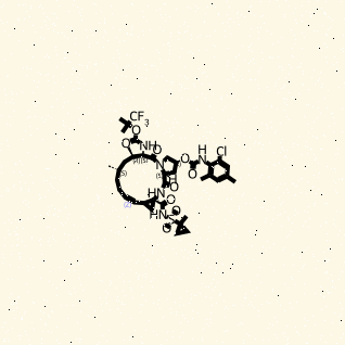 Cc1cc(C)c(NC(=O)O[C@@H]2C[C@H]3C(=O)N[C@]4(C(=O)NS(=O)(=O)C5(C)CC5)CC4/C=C\CC[C@H](C)C[C@@H](C)[C@H](NC(=O)OC(C)(C)C(F)(F)F)C(=O)N3C2)c(Cl)c1